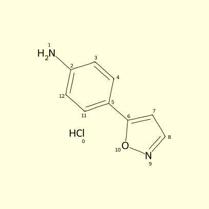 Cl.Nc1ccc(-c2ccno2)cc1